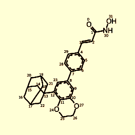 O=C(C=Cc1ccc(-c2cc3c(c(C45CC6CC(CC(C6)C4)C5)c2)OCCO3)cc1)NO